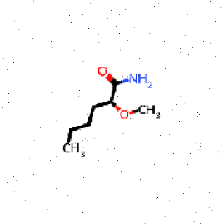 CCCCC(OC)C(N)=O